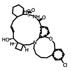 O=C1NS(=O)(=O)[C@@H]2CCCCC2C/C=C/[C@H](O)[C@@H]2CC[C@H]2CN2CCCCc3cc(Cl)ccc3COc3ccc1cc32